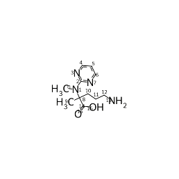 CN(c1ncccn1)C(C)(CCCN)C(=O)O